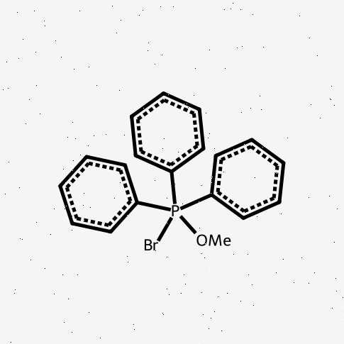 COP(Br)(c1ccccc1)(c1ccccc1)c1ccccc1